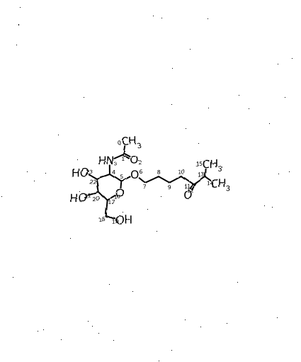 CC(=O)NC1C(OCCCCC(=O)C(C)C)OC(CO)C(O)C1O